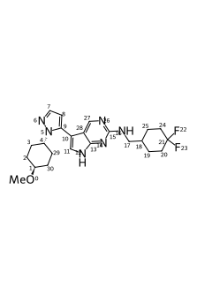 CO[C@H]1CC[C@H](n2nccc2-c2c[nH]c3nc(NCC4CCC(F)(F)CC4)ncc23)CC1